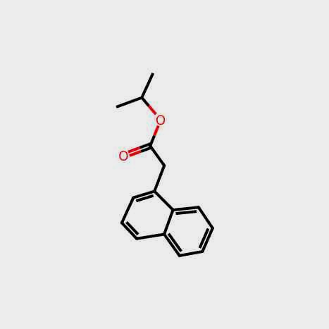 CC(C)OC(=O)Cc1cccc2ccccc12